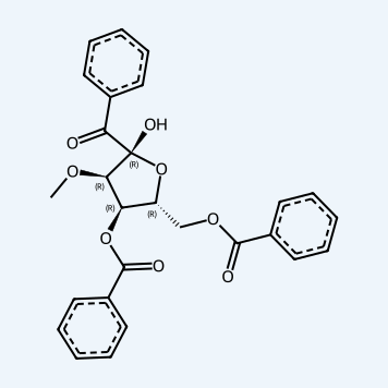 CO[C@@H]1[C@H](OC(=O)c2ccccc2)[C@@H](COC(=O)c2ccccc2)O[C@@]1(O)C(=O)c1ccccc1